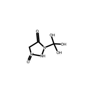 O=C1C[N+](=O)NN1C(O)(O)O